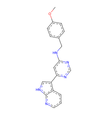 COc1ccc(CNc2cc(-c3c[nH]c4ncccc34)ncn2)cc1